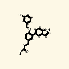 COC(=O)CCc1ccc(OCc2cccc(F)c2)c(-c2ccc3[nH]ccc3c2)c1